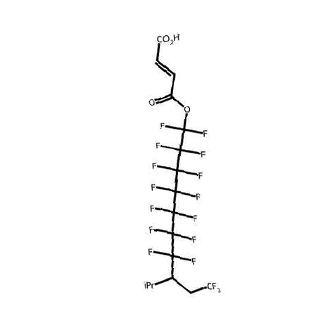 CC(C)C(CC(F)(F)F)C(F)(F)C(F)(F)C(F)(F)C(F)(F)C(F)(F)C(F)(F)C(F)(F)OC(=O)C=CC(=O)O